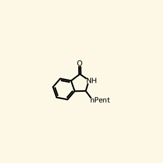 CCCCCC1NC(=O)c2ccccc21